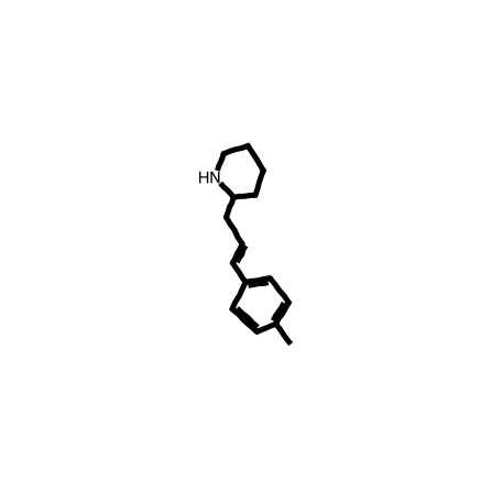 Cc1ccc(C=CCC2CCCCN2)cc1